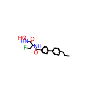 CCCc1ccc(-c2ccc(C(=O)NC(CF)C(=O)NO)cc2)cc1